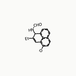 [CH2]CC1=Cc2c([O])ccc3cccc(c23)C1NC=O